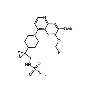 COc1cc2nccc(N3CCC(C4(CNS(N)(=O)=O)CC4)CC3)c2cc1OCF